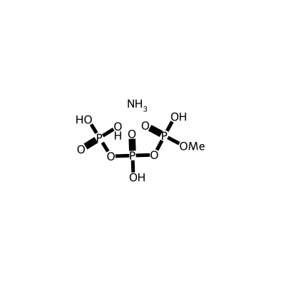 COP(=O)(O)OP(=O)(O)OP(=O)(O)O.N